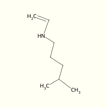 C=CNCCCC(C)C